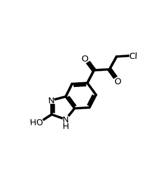 O=C(CCl)C(=O)c1ccc2[nH]c(O)nc2c1